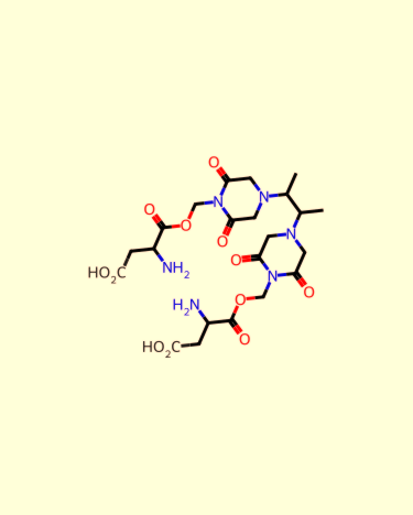 CC(C(C)N1CC(=O)N(COC(=O)C(N)CC(=O)O)C(=O)C1)N1CC(=O)N(COC(=O)C(N)CC(=O)O)C(=O)C1